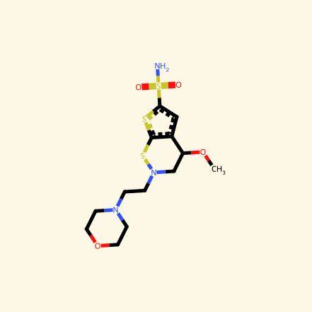 COC1CN(CCN2CCOCC2)Sc2sc(S(N)(=O)=O)cc21